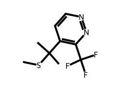 CSC(C)(C)c1ccnnc1C(F)(F)F